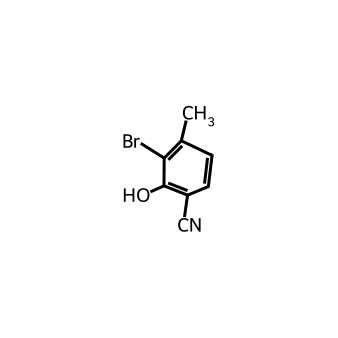 Cc1ccc(C#N)c(O)c1Br